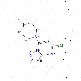 CN1CCN(c2cc(Cl)nc3ccnn23)CC1